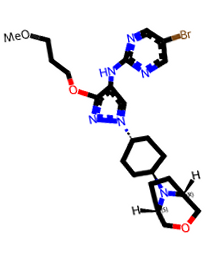 COCCCOc1nn([C@H]2CC[C@H](N3[C@@H]4CC[C@H]3COC4)CC2)cc1Nc1ncc(Br)cn1